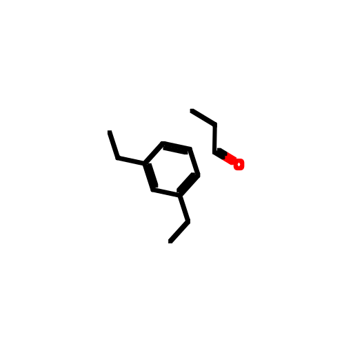 CCC=O.CCc1cccc(CC)c1